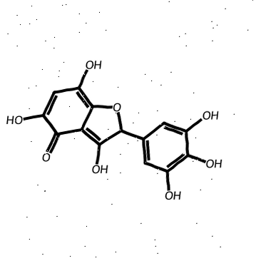 O=C1C(O)=CC(O)=C2OC(c3cc(O)c(O)c(O)c3)C(O)=C12